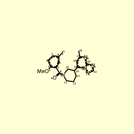 COc1ccc(I)cc1C(=O)N1CCCC(c2cc(C)nc3ncnn23)C1